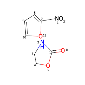 O=C1NCCO1.O=[N+]([O-])c1ccco1